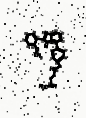 CNCCNCc1ccc(-c2cccc3nc(-c4ccccc4OC)[nH]c23)cc1